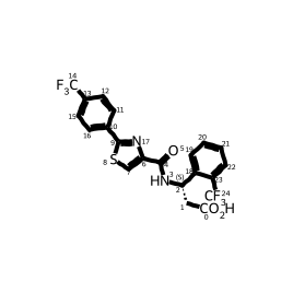 O=C(O)C[C@H](NC(=O)c1csc(-c2ccc(C(F)(F)F)cc2)n1)c1ccccc1C(F)(F)F